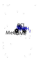 COc1ccc(-c2nc(NCC3(N)CCCC3)nc(C(Cl)(Cl)Cl)n2)cc1OC